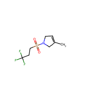 CC1=CCN(S(=O)(=O)CCC(F)(F)F)C1